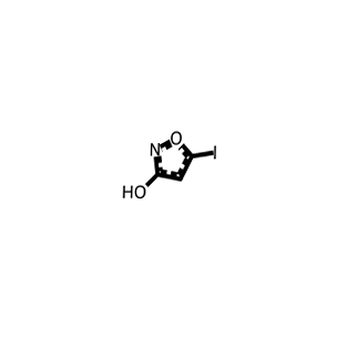 Oc1cc(I)on1